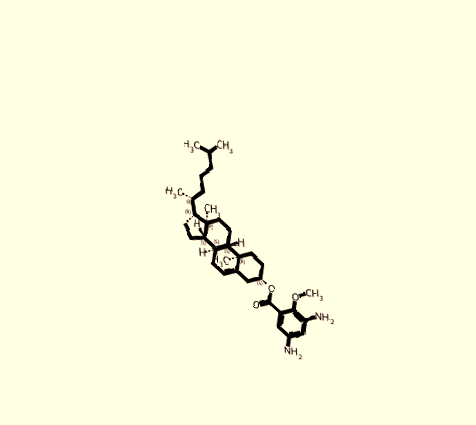 COc1c(N)cc(N)cc1C(=O)O[C@H]1CC[C@@]2(C)C(=CC[C@H]3[C@@H]4CC[C@H]([C@H](C)CCCC(C)C)[C@@]4(C)CC[C@@H]32)C1